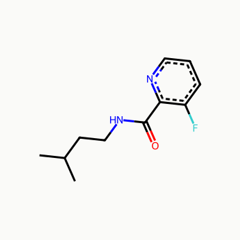 CC(C)CCNC(=O)c1ncccc1F